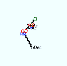 CCCCCCCCCCCCCCCCCCNC(=O)OCC(CN(C(C)=O)S(=O)(=O)CCCCl)NC(C)=O